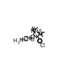 Cc1sc2c(c1C)C(c1ccc(Cl)cc1)=N[C@@H](CC(=O)N1CCN(N)CC1)c1nnc(C)n1-2